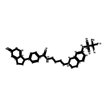 O=C1C=C2CCC(c3ccc(C(=O)NCCCCN4CCc5ccc(OS(=O)(=O)C(F)(F)F)cc5C4)cc3)C2=CC1